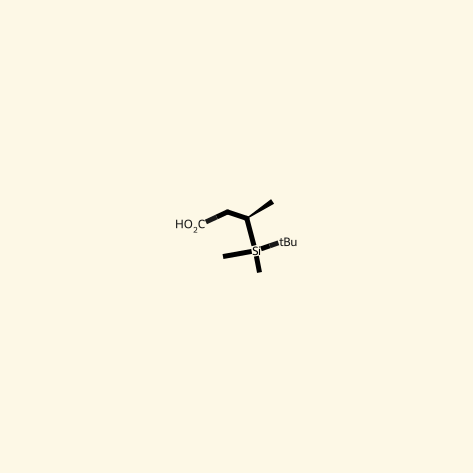 C[C@H](CC(=O)O)[Si](C)(C)C(C)(C)C